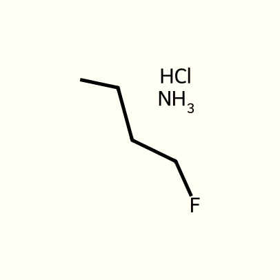 CCCCF.Cl.N